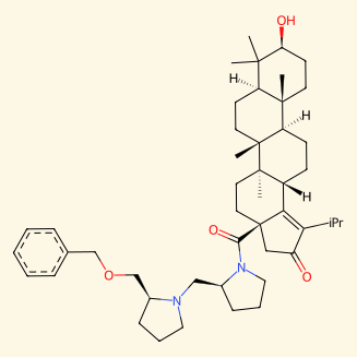 CC(C)C1=C2[C@H]3CC[C@@H]4[C@@]5(C)CC[C@H](O)C(C)(C)[C@@H]5CC[C@@]4(C)[C@]3(C)CC[C@@]2(C(=O)N2CCC[C@H]2CN2CCC[C@H]2COCc2ccccc2)CC1=O